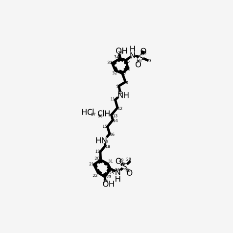 CS(=O)(=O)Nc1cc(CCNCCCCCCNCCc2ccc(O)c(NS(C)(=O)=O)c2)ccc1O.Cl.Cl